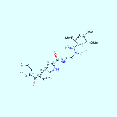 CNc1cc(OC)c(OC)cc1C(=N)N(C=S)CCNC(=O)c1cc2cc(C(=O)N3CCOCC3)ccc2[nH]1